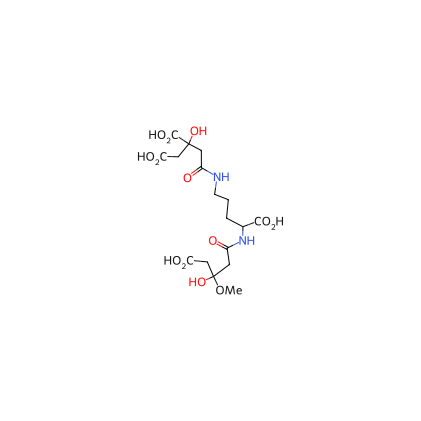 COC(O)(CC(=O)O)CC(=O)NC(CCCNC(=O)CC(O)(CC(=O)O)C(=O)O)C(=O)O